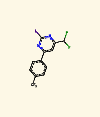 FC(F)c1cc(-c2ccc(C(F)(F)F)cc2)nc(I)n1